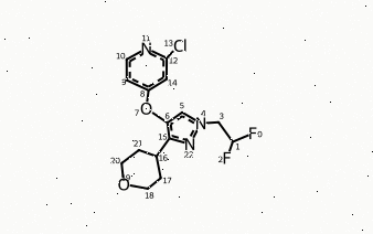 FC(F)Cn1cc(Oc2ccnc(Cl)c2)c(C2CCOCC2)n1